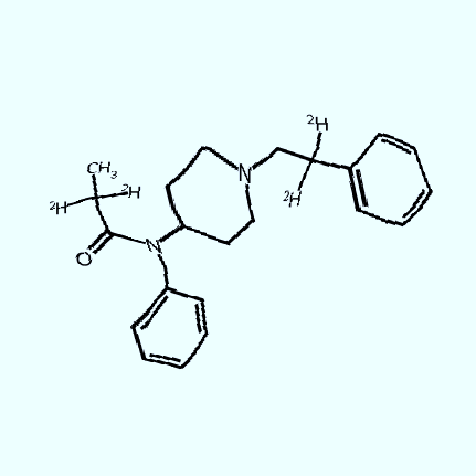 [2H]C([2H])(C)C(=O)N(c1ccccc1)C1CCN(CC([2H])([2H])c2ccccc2)CC1